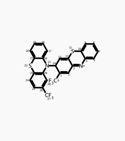 FC(F)(F)C1=CC2=Nc3ccccc3SC2=CC1N1c2ccccc2Sc2ccc(C(F)(F)F)cc21